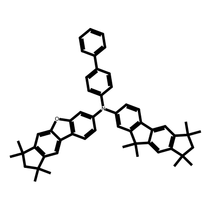 CC1(C)CC(C)(C)c2cc3c(cc21)-c1ccc(N(c2ccc(-c4ccccc4)cc2)c2ccc4c(c2)oc2cc5c(cc24)C(C)(C)CC5(C)C)cc1C3(C)C